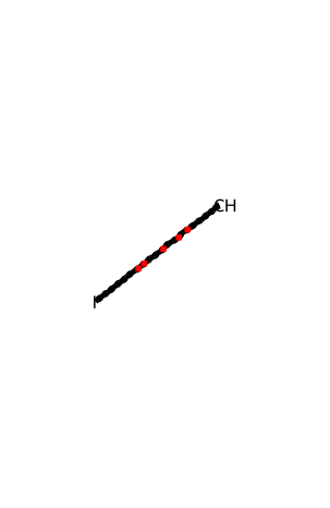 C#CC#CC#CC#CC#CC#CC#CC#CC#CC#CC#CC#CC#CC#CC#CC#CC#CC#CC#CC#CI